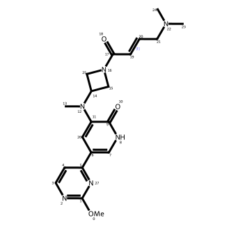 COc1nccc(-c2c[nH]c(=O)c(N(C)C3CN(C(=O)/C=C/CN(C)C)C3)c2)n1